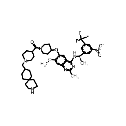 COc1cc2nc(C)nc(N[C@H](C)c3cc([N+](=O)[O-])cc(C(F)(F)F)c3)c2cc1OC1CCN(C(=O)C2CCN(CC3CCC4(CCNCC4)CC3)CC2)CC1